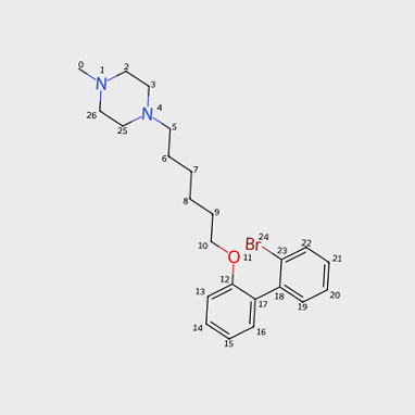 CN1CCN(CCCCCCOc2ccccc2-c2ccccc2Br)CC1